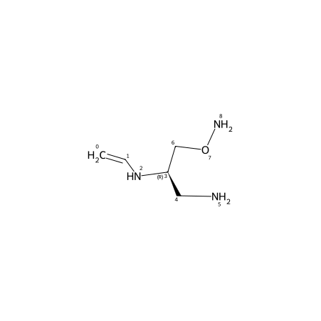 C=CN[C@H](CN)CON